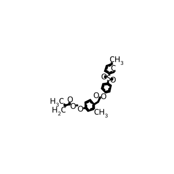 C=C(C)C(=O)OCOc1ccc(CC(=O)Oc2ccc(S(=O)(=O)c3ccc(C)cc3)cc2)c(C)c1